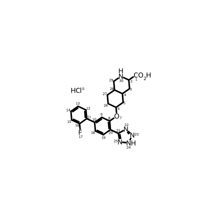 Cl.O=C(O)C1CC2CC(Oc3cc(-c4ccccc4F)ccc3-c3nn[nH]n3)CCC2CN1